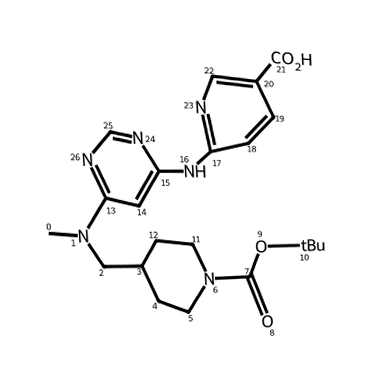 CN(CC1CCN(C(=O)OC(C)(C)C)CC1)c1cc(Nc2ccc(C(=O)O)cn2)ncn1